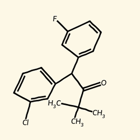 CC(C)(C)C(=O)C(c1cccc(F)c1)c1cccc(Cl)c1